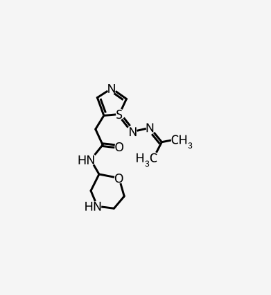 CC(C)=NN=S1C=NC=C1CC(=O)NC1CNCCO1